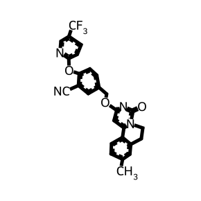 Cc1ccc2c(c1)CCn1c-2cc(OCc2ccc(Oc3ccc(C(F)(F)F)cn3)c(C#N)c2)nc1=O